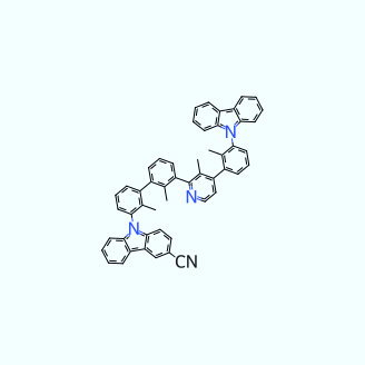 Cc1c(-c2cccc(-n3c4ccccc4c4cc(C#N)ccc43)c2C)cccc1-c1nccc(-c2cccc(-n3c4ccccc4c4ccccc43)c2C)c1C